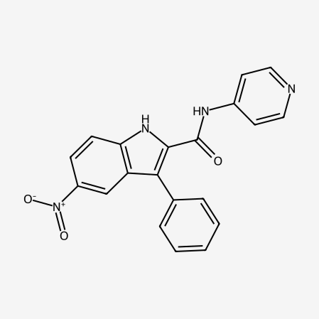 O=C(Nc1ccncc1)c1[nH]c2ccc([N+](=O)[O-])cc2c1-c1ccccc1